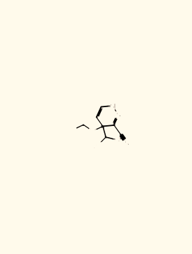 CCOC1(C(C)Br)C=CNN=C1C#N